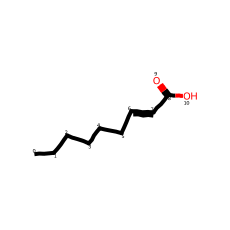 CCCCCC/C=C/C(=O)O